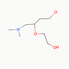 CN(C)CC(CC[O])OCCO